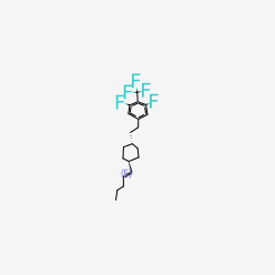 CCC/C=C/[C@H]1CC[C@H](CCc2cc(F)c(C(F)(F)F)c(F)c2)CC1